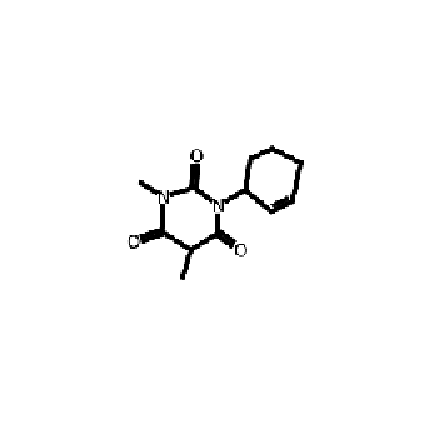 CC1C(=O)N(C)C(=O)N(C2C=CCCC2)C1=O